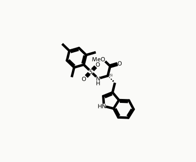 COC(=O)[C@H](Cc1c[nH]c2ccccc12)NS(=O)(=O)c1c(C)cc(C)cc1C